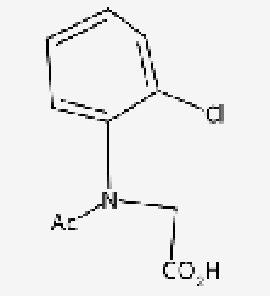 CC(=O)N(CC(=O)O)c1ccccc1Cl